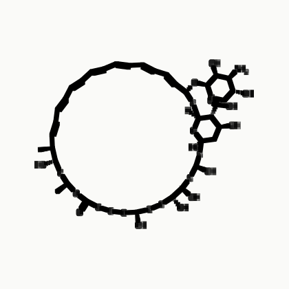 C[C@H]1C[C@H](O)[C@@H](C)/C=C/C=C/C=C/C=C/C=C/C=C/C=C/[C@H](O[C@@H]2OC[C@@H](O)[C@H](N)[C@@H]2O)C[C@@H]2O[C@](O)(C[C@@H](O)C[C@@H](O)[C@H](O)CC[C@@H](O)CCCC(=O)O1)C[C@H](O)[C@H]2C(=O)O